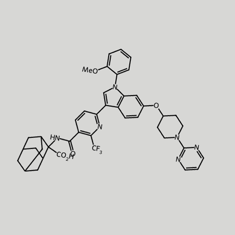 COc1ccccc1-n1cc(-c2ccc(C(=O)NC3(C(=O)O)C4CC5CC(C4)CC3C5)c(C(F)(F)F)n2)c2ccc(OC3CCN(c4ncccn4)CC3)cc21